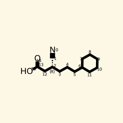 N#C[C@H](CCCC1CCCCC1)CC(=O)O